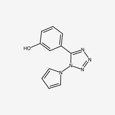 Oc1cccc(-c2nnnn2-n2cccc2)c1